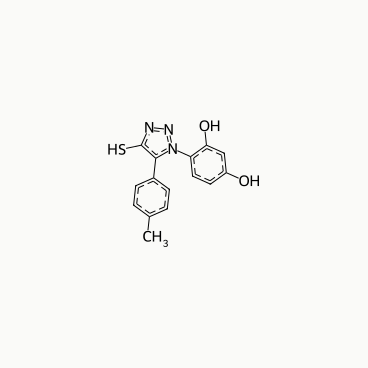 Cc1ccc(-c2c(S)nnn2-c2ccc(O)cc2O)cc1